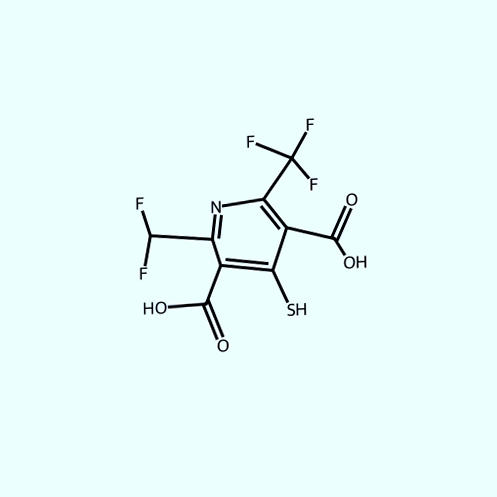 O=C(O)c1c(C(F)F)nc(C(F)(F)F)c(C(=O)O)c1S